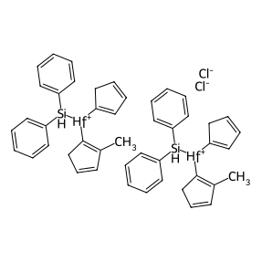 CC1=[C]([Hf+]([C]2=CC=CC2)[SiH](c2ccccc2)c2ccccc2)CC=C1.CC1=[C]([Hf+]([C]2=CC=CC2)[SiH](c2ccccc2)c2ccccc2)CC=C1.[Cl-].[Cl-]